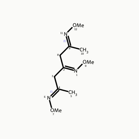 CON=C(C/C(C)=N/OC)C/C(C)=N/OC